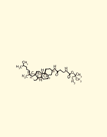 CC(C)CCC[C@@H](C)[C@H]1CC[C@H]2[C@@H]3CCC4C[C@H](NC(=O)CCNC(=O)OC(C)(C)C)CC[C@]4(C)[C@H]3CC[C@]12C